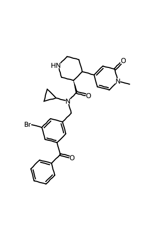 Cn1ccc(C2CCNC[C@@H]2C(=O)N(Cc2cc(Br)cc(C(=O)c3ccccc3)c2)C2CC2)cc1=O